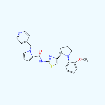 O=C(Nc1nc([C@H]2CCCN2c2ccccc2OC(F)(F)F)cs1)c1cccn1Cc1ccncc1